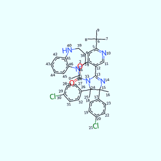 CCOc1cc(C(C)(C)C)ncc1C1=NC(C)(c2ccc(Cl)cc2)C(C)(c2ccc(Cl)cc2)N1C(=O)N1CCCNc2ccccc21